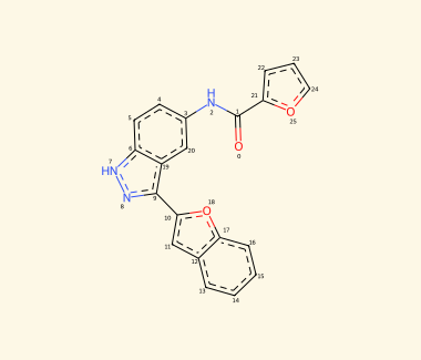 O=C(Nc1ccc2[nH]nc(-c3cc4ccccc4o3)c2c1)c1ccco1